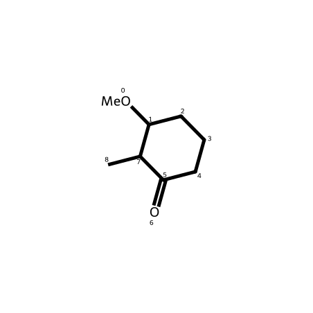 COC1CCCC(=O)C1C